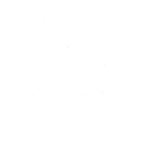 CCCCc1c(NS(C)(=O)=O)oc2c1=C(C(=O)c1ccccc1)C(=O)C(OC(CCCC)N(CCCC)CCCC)C=2